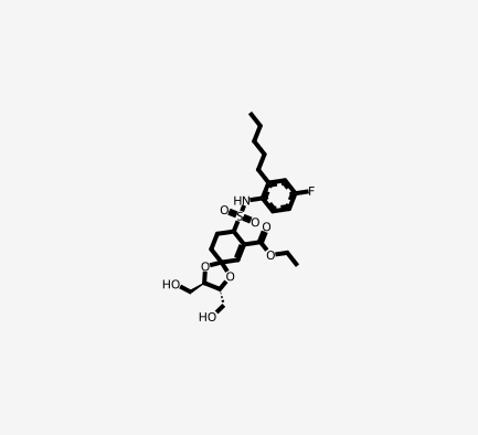 CCCCCc1cc(F)ccc1NS(=O)(=O)C1CCC2(C=C1C(=O)OCC)O[C@H](CO)[C@@H](CO)O2